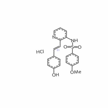 COc1ccc(S(=O)(=O)Nc2cccnc2/C=C/c2ccc(O)cc2)cc1.Cl